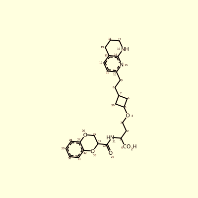 O=C(O)C(CCOC1CC(CCc2ccc3c(n2)NCCC3)C1)NC(=O)C1COc2ccccc2O1